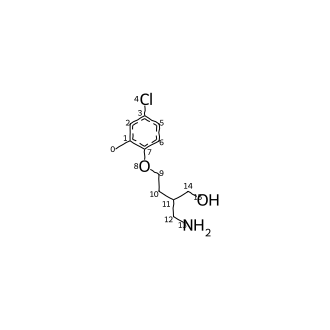 Cc1cc(Cl)ccc1OCCC(CN)CO